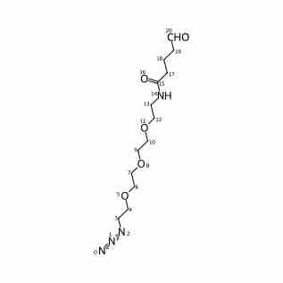 [N-]=[N+]=NCCOCCOCCOCCNC(=O)CCCC=O